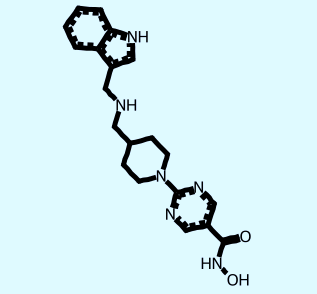 O=C(NO)c1cnc(N2CCC(CNCc3c[nH]c4ccccc34)CC2)nc1